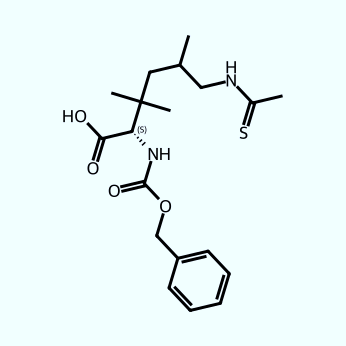 CC(=S)NCC(C)CC(C)(C)[C@H](NC(=O)OCc1ccccc1)C(=O)O